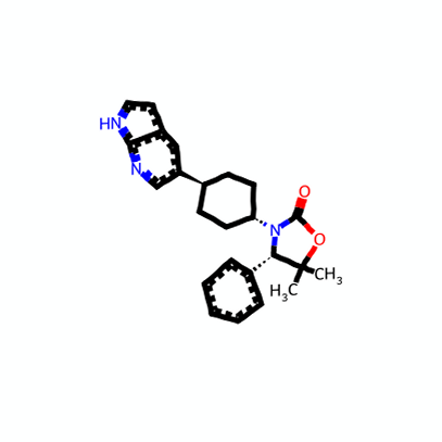 CC1(C)OC(=O)N([C@H]2CC[C@H](c3cnc4[nH]ccc4c3)CC2)[C@H]1c1ccccc1